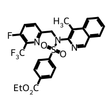 CCOC(=O)c1ccc(S(=O)(=O)N(Cc2ccc(F)c(C(F)(F)F)n2)c2ncc3ccccc3c2C)cc1